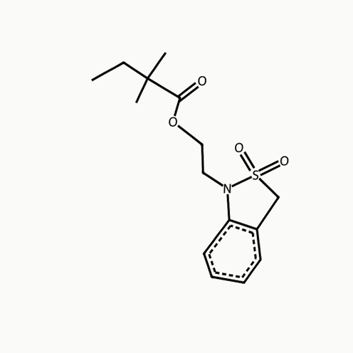 CCC(C)(C)C(=O)OCCN1c2ccccc2CS1(=O)=O